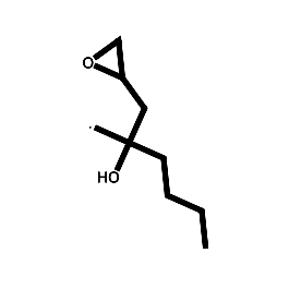 [CH2]C(O)(CCCC)CC1CO1